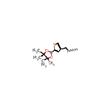 CCCCCCCCCCc1csc(B2OC(C)(C)C(C)(C)O2)c1